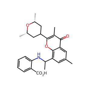 Cc1cc(C(C)Nc2ccccc2C(=O)O)c2oc(C3C[C@@H](C)O[C@@H](C)C3)c(C)c(=O)c2c1